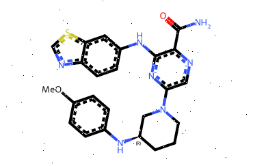 COc1ccc(N[C@@H]2CCCN(c3cnc(C(N)=O)c(Nc4ccc5ncsc5c4)n3)C2)cc1